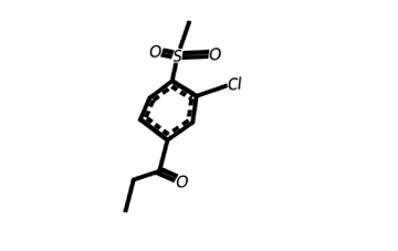 CCC(=O)c1ccc(S(C)(=O)=O)c(Cl)c1